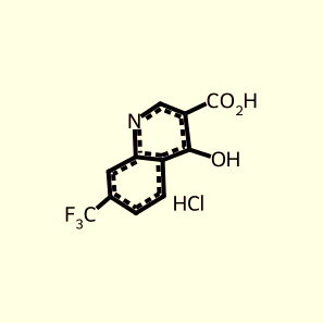 Cl.O=C(O)c1cnc2cc(C(F)(F)F)ccc2c1O